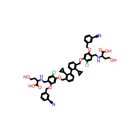 N#Cc1cccc(COc2cc(OCc3cccc(-c4cccc(COc5cc(OCc6cccc(C#N)c6)c(CNC(CCO)C(=O)O)cc5Cl)c4C4CC4)c3C3CC3)c(Cl)cc2CNC(CCO)C(=O)O)c1